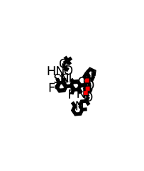 CC(CN1C(C)CCCC1C)Oc1nc(N2CC3CCC(C2)N3C(=O)OC(C)(C)C)c2cc(Cl)c(-c3ccc(F)c4sc(NC(=O)OC(C)(C)C)nc34)c(F)c2n1